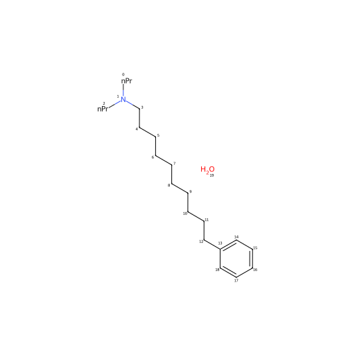 CCCN(CCC)CCCCCCCCCCc1ccccc1.O